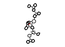 c1ccc(-c2nc(-c3ccc(N4c5ccccc5C5CC(c6ccc7c(c6)c6ccccc6n7-c6ccc7c(c6)c6ccccc6n7-c6ccccc6)CCCC54)c(-n4c5ccccc5c5ccccc54)c3)nc(C3CCCC(n4c5ccccc5c5ccccc54)C3)n2)cc1